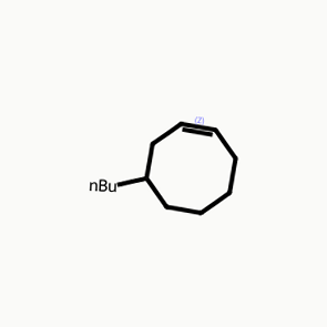 CCCCC1C/C=C\CCCC1